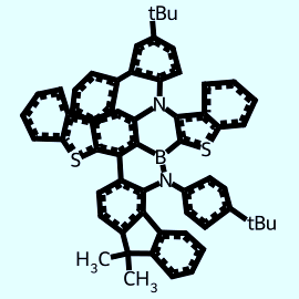 CC(C)(C)c1ccc(N2B3c4sc5ccccc5c4N(c4ccc(C(C)(C)C)cc4-c4ccccc4)c4cc5c(sc6ccccc65)c(c43)-c3ccc4c(c32)-c2ccccc2C4(C)C)cc1